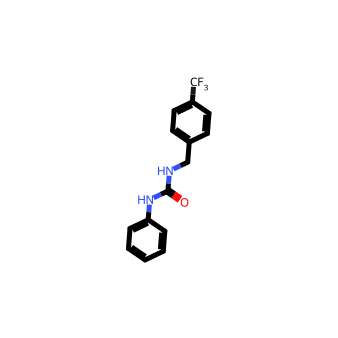 O=C(NCc1ccc(C(F)(F)F)cc1)Nc1ccccc1